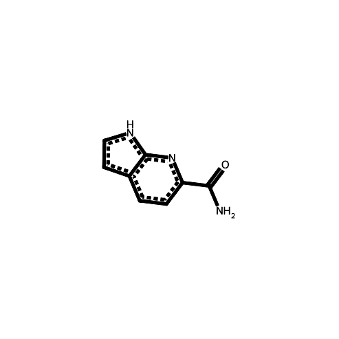 NC(=O)c1ccc2cc[nH]c2n1